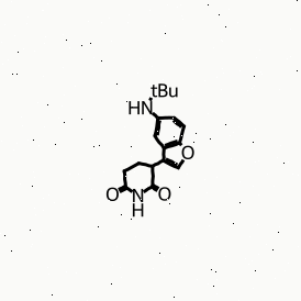 CC(C)(C)Nc1ccc2occ(C3CCC(=O)NC3=O)c2c1